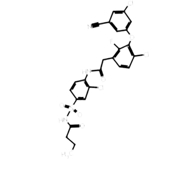 CCCC(=O)NS(=O)(=O)c1ccc(NC(=O)Cc2ccc(Cl)c(Oc3cc(Cl)cc(C#N)c3)c2F)c(Cl)c1